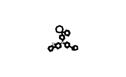 c1ccc(C2(c3ccc(N(c4ccc(C5CC6CCC5C6)cc4)c4ccc5c(c4)oc4ccccc45)cc3)CCCCCCC2)cc1